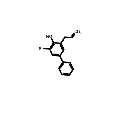 C=CCc1cc(-c2ccccc2)cc(Br)c1O